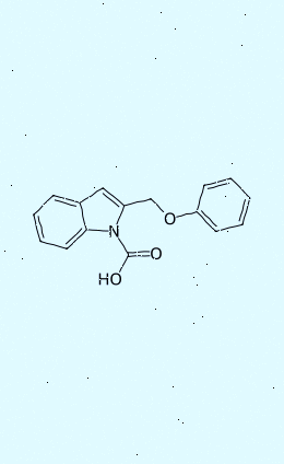 O=C(O)n1c(COc2ccccc2)cc2ccccc21